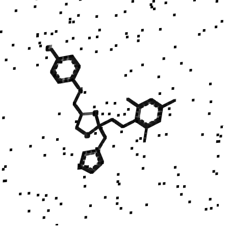 Cc1cc(C)c(CCC2(Cn3ccnc3)OCC(CSc3ccc(Cl)cc3)O2)c(C)c1